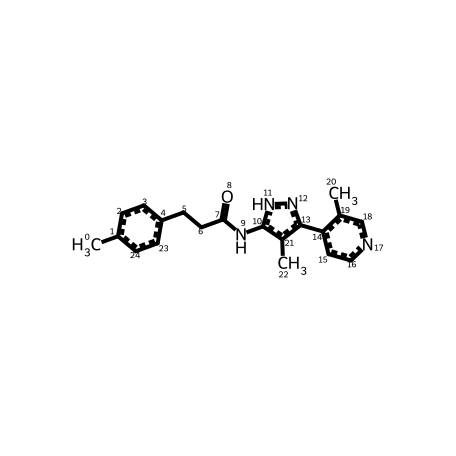 Cc1ccc(CCC(=O)Nc2[nH]nc(-c3ccncc3C)c2C)cc1